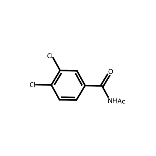 CC(=O)NC(=O)c1ccc(Cl)c(Cl)c1